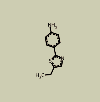 CCc1cnc(-c2ccc(N)cc2)s1